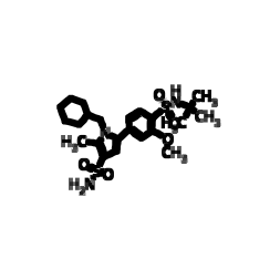 COc1cc(-c2cc(S(N)(=O)=O)c(C)n2CC2CCCCC2)ccc1S(=O)(=O)NC(C)(C)C